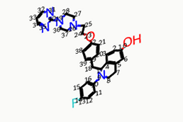 Oc1ccc2c(c1)CCN(c1ccc(F)cc1)C2Cc1ccc(OCCN2CCN(c3ncccn3)CC2)cc1